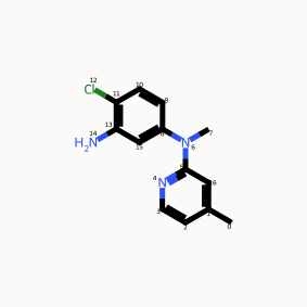 Cc1ccnc(N(C)c2ccc(Cl)c(N)c2)c1